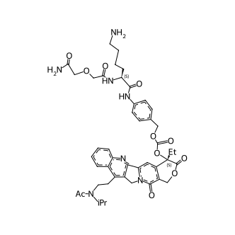 CC[C@@]1(OC(=O)OCc2ccc(NC(=O)[C@H](CCCCN)NC(=O)COCC(N)=O)cc2)C(=O)OCc2c1cc1n(c2=O)Cc2c-1nc1ccccc1c2CCN(C(C)=O)C(C)C